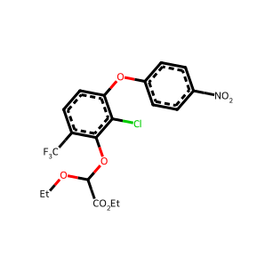 CCOC(=O)C(OCC)Oc1c(C(F)(F)F)ccc(Oc2ccc([N+](=O)[O-])cc2)c1Cl